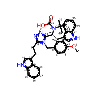 COc1ccc(Cn2c(CCc3c[nH]c4ccccc34)nnc2[C@@H](Cc2c[nH]c3ccccc23)N(C(=O)O)C(C)(C)C)cc1